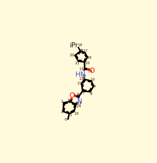 Cc1ccc2oc(-c3cccc(NC(=O)c4ccc(C(C)C)cc4)c3)nc2c1